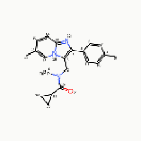 CCCN(Cc1c(-c2ccc(C)cc2)nc2ccc(C)cn12)C(=O)C1CC1